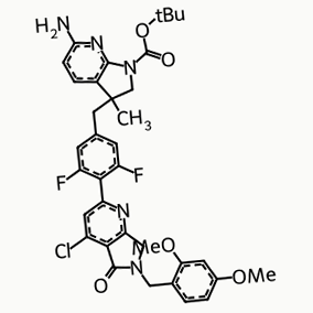 COc1ccc(CN2Cc3nc(-c4c(F)cc(CC5(C)CN(C(=O)OC(C)(C)C)c6nc(N)ccc65)cc4F)cc(Cl)c3C2=O)c(OC)c1